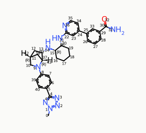 Cn1nnc(-c2ccc(N3C[C@@H]4C[C@H](N[C@@H]5CCCC[C@H]5Nc5cc(-c6cccc(C(N)=O)c6)ccn5)[C@H]3C4)cc2)n1